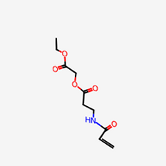 C=CC(=O)NCCC(=O)OCC(=O)OCC